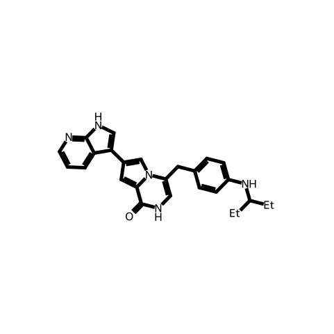 CCC(CC)Nc1ccc(Cc2c[nH]c(=O)c3cc(-c4c[nH]c5ncccc45)cn23)cc1